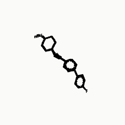 CCCCC1CCC(C#Cc2ccc(-c3ccc(F)cc3)cc2)CC1